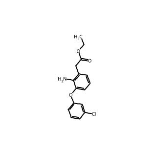 CCOC(=O)Cc1cccc(Oc2cccc(Cl)c2)c1N